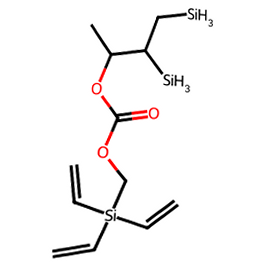 C=C[Si](C=C)(C=C)COC(=O)OC(C)C([SiH3])C[SiH3]